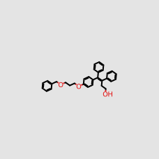 OCCC(=C(c1ccccc1)c1ccc(OCCCOCc2ccccc2)cc1)c1ccccc1